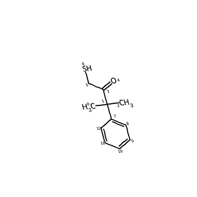 CC(C)(C(=O)CS)c1ccccc1